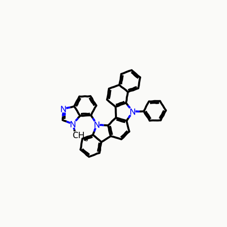 Cn1cnc2cccc(-n3c4ccccc4c4ccc5c(c6ccc7ccccc7c6n5-c5ccccc5)c43)c21